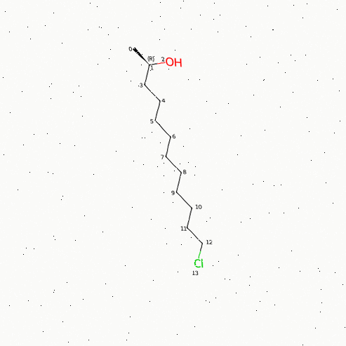 C[C@@H](O)CCCCCCCCCCCl